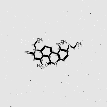 CCOc1ccc2oc(=O)c3c(ccc4c3c(C)cc(=O)n4CC)c2c1OC